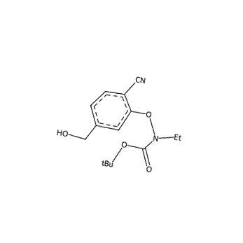 CCN(Oc1cc(CO)ccc1C#N)C(=O)OC(C)(C)C